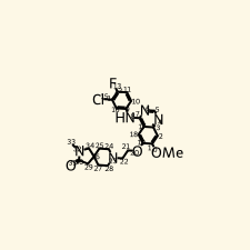 COc1cc2ncnc(Nc3ccc(F)c(Cl)c3)c2cc1OCCN1CCC2(CC1)CC(=O)N(C)C2